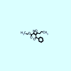 CCCc1onc(C(=O)OCC)c1C(=O)c1ccccc1